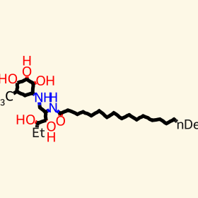 CCCCCCCCCCCCCCCCCCCCCCCCCC(=O)NC(CNC1CC(C)C(O)C(O)C1O)C(O)C(O)CC